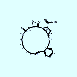 COC(=O)[C@@H]1C[C@@H]2CN1C(=O)[C@H](C(C)(C)C)NC(=O)OCCCCC/C=C/c1ccccc1CO2